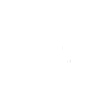 CCCC(CC)C1C(C(C)(C)C2c3ccccc3-c3ccccc32)=Cc2ccccc21